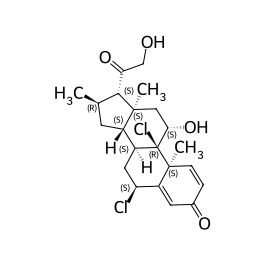 C[C@@H]1C[C@H]2[C@@H]3C[C@H](Cl)C4=CC(=O)C=C[C@]4(C)[C@@]3(Cl)[C@@H](O)C[C@]2(C)[C@H]1C(=O)CO